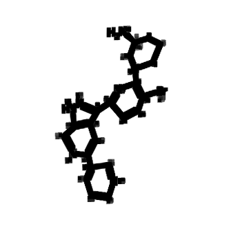 N[C@H]1CCCN(c2nc(-c3n[nH]c4cnc(-c5cccnc5)cc34)ccc2Br)C1